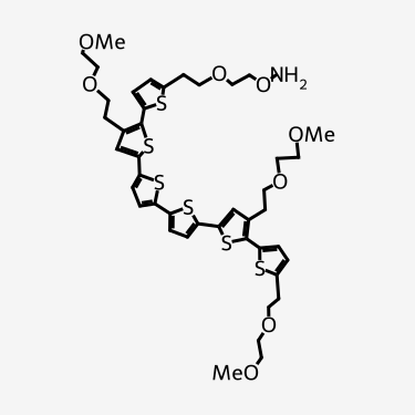 COCCOCCc1ccc(-c2sc(-c3ccc(-c4ccc(-c5cc(CCOCCOC)c(-c6ccc(CCOCCON)s6)s5)s4)s3)cc2CCOCCOC)s1